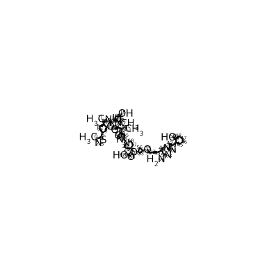 Cc1ncsc1-c1ccc([C@H](C)NC(=O)[C@@H]2C[C@@H](O)CN2C(=O)[C@@H](c2cc(N3CCC(OC4CC(OCC#Cc5cn6cc(-c7ccccc7O)nc6nc5N)C4)CC3)no2)C(C)C)cc1.O=CO